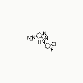 Fc1ccc(Nc2ncnc3ccc(-n4ccnc4)cc23)cc1Cl